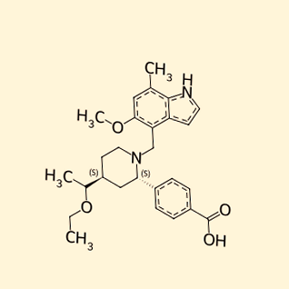 CCOC(C)[C@H]1CCN(Cc2c(OC)cc(C)c3[nH]ccc23)[C@H](c2ccc(C(=O)O)cc2)C1